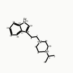 CC(C)N1CCN(CCc2c[nH]c3ccccc23)CC1